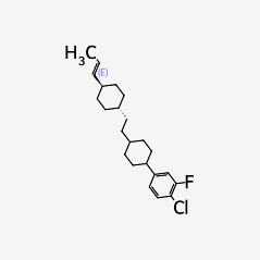 C/C=C/[C@H]1CC[C@H](CCC2CCC(c3ccc(Cl)c(F)c3)CC2)CC1